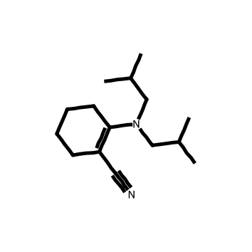 CC(C)CN(CC(C)C)C1=C(C#N)CCCC1